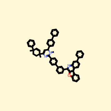 CN1C(c2ccc(-c3cccc(-c4nc5cc(-c6ccccc6)ccc5c5c4oc4ccccc45)c3)cc2)=NC(C2(C)C=CC(C)(c3ccccc3)CC2)=CC1c1ccc(-c2ccccc2)cc1